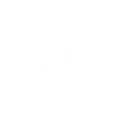 CCOC(=O)[C@@]1(C)Cc2sc(Br)cc2[C@H]1c1cccc(F)c1